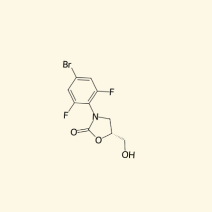 O=C1O[C@@H](CO)CN1c1c(F)cc(Br)cc1F